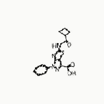 O=C(O)c1nn(-c2ccccc2)c2nc(NC(=O)C3CCC3)sc12